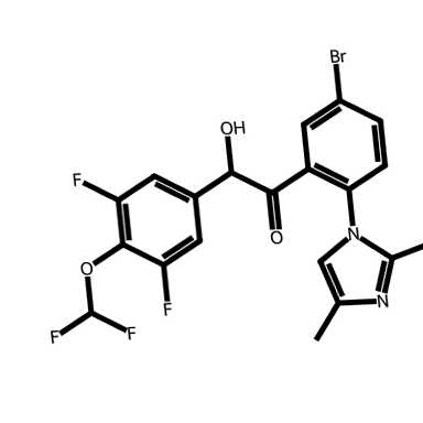 Cc1cn(-c2ccc(Br)cc2C(=O)C(O)c2cc(F)c(OC(F)F)c(F)c2)c(C)n1